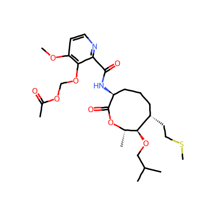 COc1ccnc(C(=O)N[C@H]2CCC[C@H](CCSC)[C@@H](OCC(C)C)[C@H](C)OC2=O)c1OCOC(C)=O